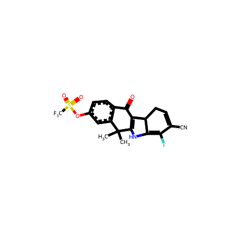 CC1(C)C2=C(C(=O)c3ccc(OS(=O)(=O)C(F)(F)F)cc31)C1CC=C(C#N)C(F)=C1N2